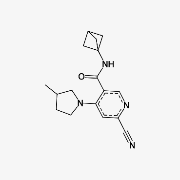 CC1CCN(c2cc(C#N)ncc2C(=O)NC23CC(C2)C3)C1